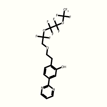 Oc1cc(-c2ncccn2)ccc1CCOCC(F)(F)OC(F)(F)C(F)(F)OC(F)(F)C(F)(F)F